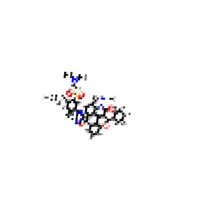 CCN(CC)CCS(=O)(=O)c1cc(Nc2cc(S(=O)(=O)O)c3[nH]c(=O)c(C(=O)c4ccccc4)c4c3c2C(=O)c2ccccc2-4)c(S(=O)(=O)O)cc1S(=O)(=O)O